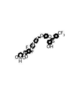 O=C1CCC(N2Cc3c(cc(F)c(N4CCN(C5CCN(CCOc6ccc(Oc7c(-c8ccc(C(F)(F)F)cc8)sc8cc(O)ccc78)cc6)CC5)CC4)c3F)C2=O)C(=O)N1